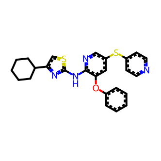 c1ccc(Oc2cc(Sc3ccncc3)cnc2Nc2nc(C3CCCCC3)cs2)cc1